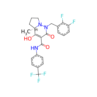 C[C@]12CCCN1N(Cc1cccc(F)c1F)C(=O)C(C(=O)Nc1ccc(C(F)(F)F)cc1)=C2O